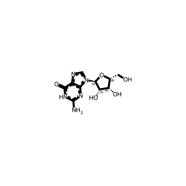 Nc1nc2c(ncn2[C@H]2O[C@H](CO)[C@H](O)[C@@H]2O)c(=O)[nH]1